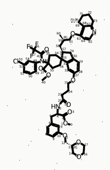 COC(=O)C(Cc1cccc(OC[C@H]2COCCO2)c1)NC(=O)CCCOc1ccc2c(c1)C1(CCC(C(=O)OC)(N(C(=O)C(F)(F)F)c3cccc(Cl)c3)CC1)[C@@H](C[C@@H](C)COc1ccnc3c1[C@H](C)CCC3)C2